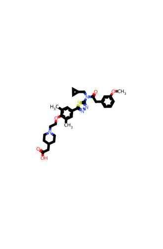 COc1cccc(CC(=O)N(CC2CC2)c2nnc(-c3cc(C)c(OCCN4CCC(CC(=O)O)CC4)c(C)c3)s2)c1